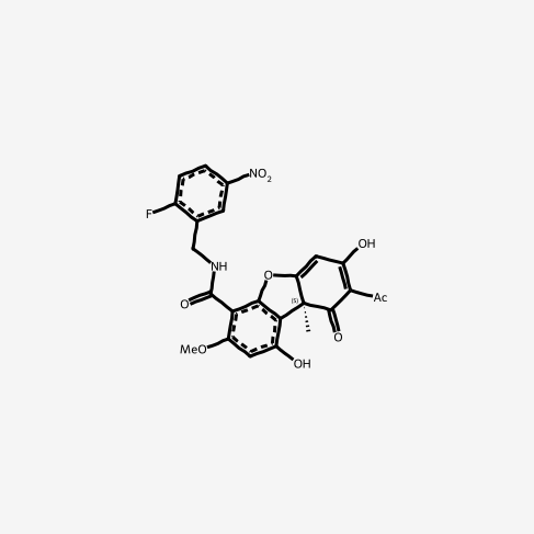 COc1cc(O)c2c(c1C(=O)NCc1cc([N+](=O)[O-])ccc1F)OC1=CC(O)=C(C(C)=O)C(=O)[C@]12C